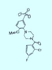 COc1ccc(S(=O)(=O)Cl)cc1N1CCN(C(=O)c2ccc(F)cc2Cl)CC1